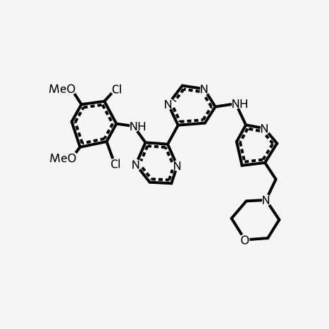 COc1cc(OC)c(Cl)c(Nc2nccnc2-c2cc(Nc3ccc(CN4CCOCC4)cn3)ncn2)c1Cl